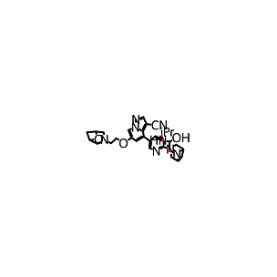 CC(C)NC(O)CN1C2CC1CN(c1ccc(-c3cc(OCCN4CC5CC(C4)O5)cn4ncc(C#N)c34)cn1)C2